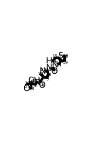 CC1(CNC(=O)c2ccc(NC(=O)N3CCc4sccc4C3)nc2)COC1